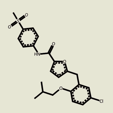 CC(C)COc1ccc(Cl)cc1Cc1ccc(C(=O)Nc2ccc(S(C)(=O)=O)cc2)o1